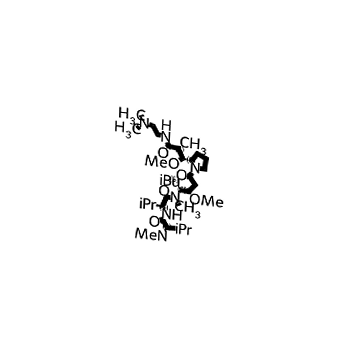 CC[C@H](C)[C@@H]([C@H](CC(=O)N1CCC[C@H]1C(OC)[C@@H](C)C(=O)NCCN(C)C)OC)N(C)C(=O)[C@@H](NC(=O)[C@@H](NC)C(C)C)C(C)C